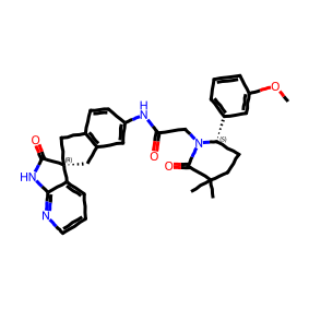 COc1cccc([C@@H]2CCC(C)(C)C(=O)N2CC(=O)Nc2ccc3c(c2)C[C@@]2(C3)C(=O)Nc3ncccc32)c1